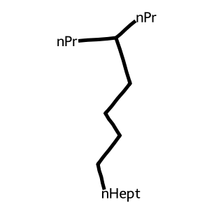 [CH2]CCCCCCCCCCC(CCC)CCC